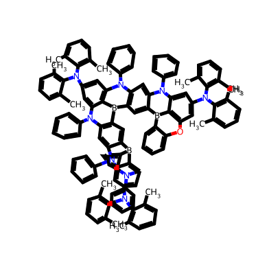 Cc1cccc(C)c1N(c1cc2c3c(c1)N(c1ccccc1)c1cc4c(cc1B3c1ccccc1O2)B1c2cc3c(cc2N(c2ccccc2)c2cc(N(c5c(C)cccc5C)c5c(C)cccc5C)cc(c21)N4c1ccccc1)N(c1ccccc1)c1cc(N(c2c(C)cccc2C)c2c(C)cccc2C)cc2c1B3c1ccccc1N2c1ccccc1)c1c(C)cccc1C